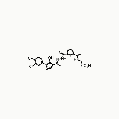 CC(=NNC(=O)c1ccc(C(=O)NCC(=O)O)s1)c1csc(-c2ccc(Cl)c(Cl)c2)c1O